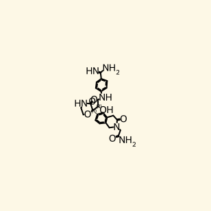 N=C(N)c1ccc(NC(=O)[C@H](O)[C@@]2(c3ccc4c(c3)CC(=O)N(CC(N)=O)C4)OCCNC2=O)cc1